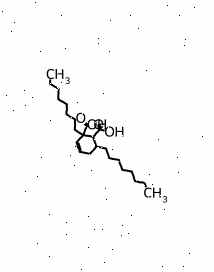 CCCCCCCCC1CC=CC(CCCCCCCC)(C(=O)O)C1C(=O)O